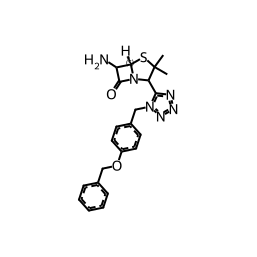 CC1(C)S[C@H]2C(N)C(=O)N2C1c1nnnn1Cc1ccc(OCc2ccccc2)cc1